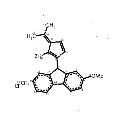 COc1ccc2c(c1)C(C1=[C]([Zr+2])C(=C(C)C)C=C1)c1ccccc1-2.[Cl-].[Cl-]